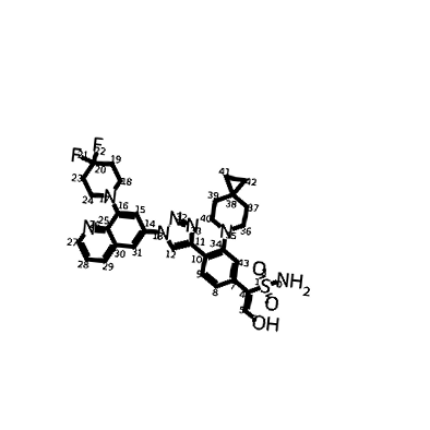 NS(=O)(=O)C(=CO)c1ccc(-c2cn(-c3cc(N4CCC(F)(F)CC4)c4ncccc4c3)nn2)c(N2CCC3(CC2)CC3)c1